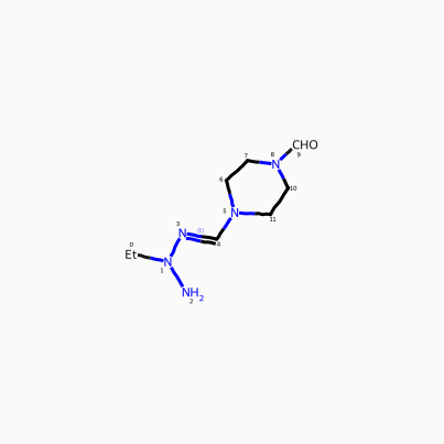 CCN(N)/N=C/N1CCN(C=O)CC1